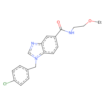 CCOCCNC(=O)c1ccc2c(c1)ncn2Cc1ccc(Cl)cc1